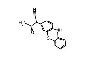 N#CC(C(N)=O)c1ccc2c(c1)Sc1ccccc1N2